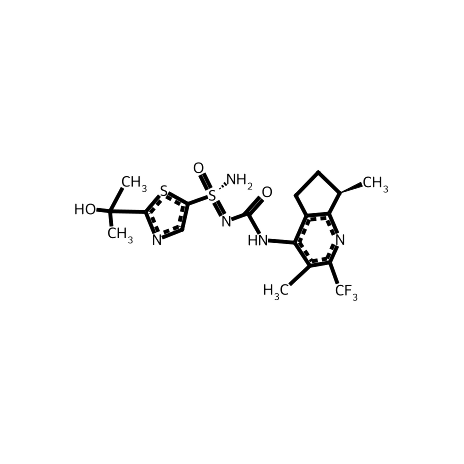 Cc1c(C(F)(F)F)nc2c(c1NC(=O)N=[S@](N)(=O)c1cnc(C(C)(C)O)s1)CC[C@H]2C